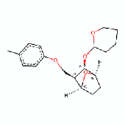 Cc1ccc(OC[C@H]2[C@@H](OC3CCCCO3)[C@H]3CC[C@@H]2O3)cc1